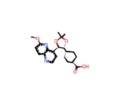 COc1ccc2nccc([C@H]3OC(C)(C)O[C@@H]3[C@H]3CC[C@H](C(=O)O)CC3)c2n1